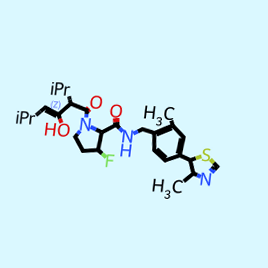 Cc1cc(C2SC=NC2C)ccc1CNC(=O)C1C(F)CCN1C(=O)C(/C(O)=C/C(C)C)C(C)C